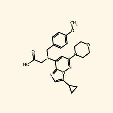 COc1ccc(CN(CC(=O)O)c2cc(N3CCOCC3)nn3c(C4CC4)cnc23)cc1